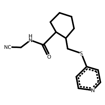 N#CCNC(=O)C1CCCCC1CSc1ccncc1